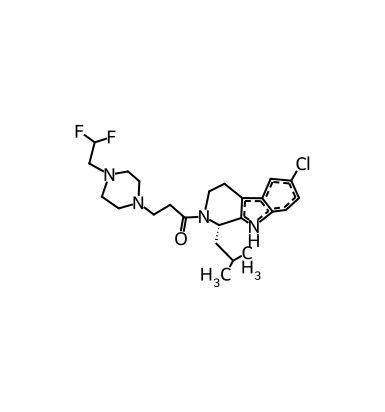 CC(C)C[C@H]1c2[nH]c3ccc(Cl)cc3c2CCN1C(=O)CCN1CCN(CC(F)F)CC1